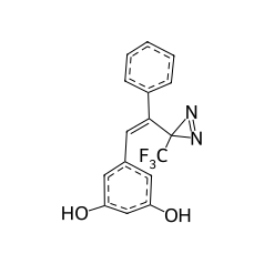 Oc1cc(O)cc(C=C(c2ccccc2)C2(C(F)(F)F)N=N2)c1